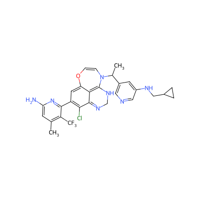 Cc1cc(N)nc(-c2cc3c4c(c2Cl)=NCNC=4N(C(C)c2cncc(NCC4CC4)c2)C=CO3)c1C(F)(F)F